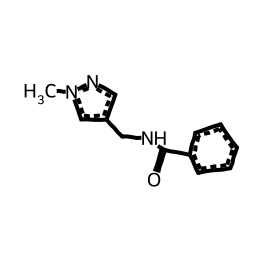 Cn1cc(CNC(=O)c2ccccc2)cn1